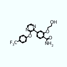 NC(=O)c1ccc(-c2nccnc2Oc2ccc(C(F)(F)F)cc2)cc1OCCO